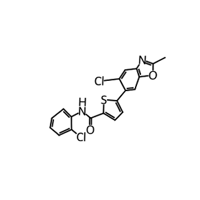 Cc1nc2cc(Cl)c(-c3ccc(C(=O)Nc4ccccc4Cl)s3)cc2o1